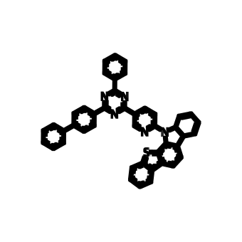 C1=CC2c3ccc4c(sc5ccccc54)c3N(c3ccc(-c4nc(-c5ccccc5)nc(-c5ccc(-c6ccccc6)cc5)n4)cn3)C2C=C1